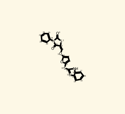 O=C1S/C(=C/Oc2ccc(Sc3nc4ccccc4[nH]3)o2)C(=O)N1c1ccccc1